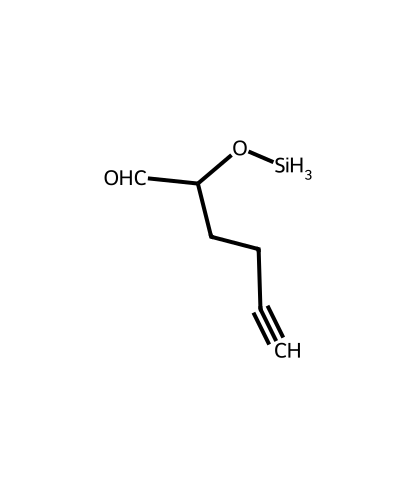 C#CCCC(C=O)O[SiH3]